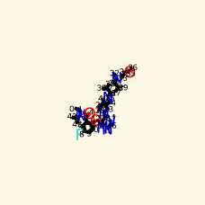 CCN(C(=O)c1cc(F)ccc1Oc1nncnc1N1CCC2(C1)CN([C@H](C[C@H](C)CN(C)CCOC)C(C)C)C2)C(C)C